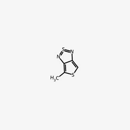 Cc1scc2c1N=S=N2